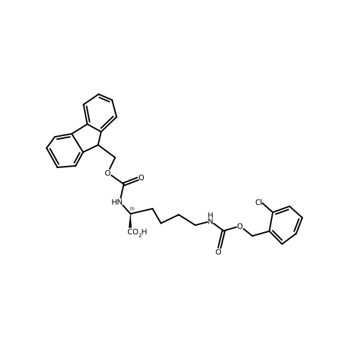 O=C(NCCCC[C@H](NC(=O)OCC1c2ccccc2-c2ccccc21)C(=O)O)OCc1ccccc1Cl